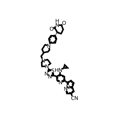 N#Cc1cnn2c(-c3cc(NC4CC4)c(-c4nnc(N5CCN(CC6CCN(c7ccc([C@H]8CCC(=O)NC8=O)cc7)CC6)CC5)s4)cn3)ccc2c1